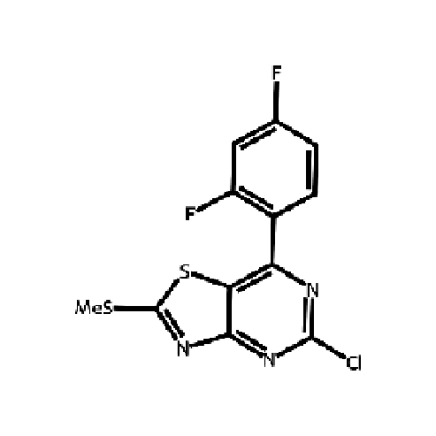 CSc1nc2nc(Cl)nc(-c3ccc(F)cc3F)c2s1